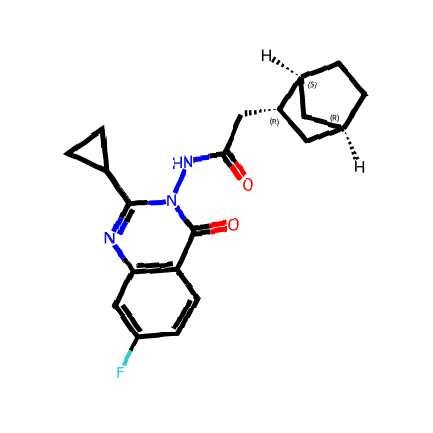 O=C(C[C@H]1C[C@@H]2CC[C@H]1C2)Nn1c(C2CC2)nc2cc(F)ccc2c1=O